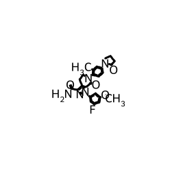 COc1cc(F)cc(-n2nc(C(N)=O)c3c2C(=O)N(c2ccc(N4CCCC4=O)cc2C)CC3)c1